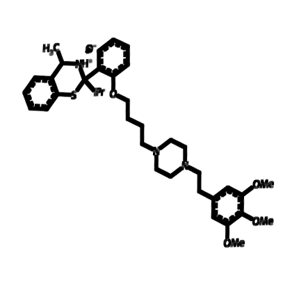 COc1cc(CCN2CCN(CCCCOc3ccccc3C3(C(C)C)Sc4ccccc4C(C)[NH+]3[O-])CC2)cc(OC)c1OC